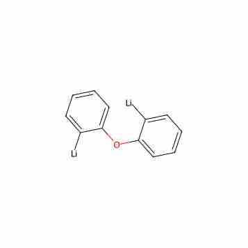 [Li][c]1ccccc1Oc1cccc[c]1[Li]